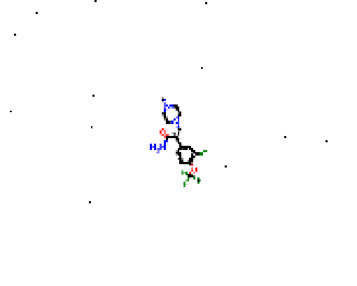 CN1CCN(C[C@H](C(N)=O)c2ccc(OC(F)(F)F)c(F)c2)CC1